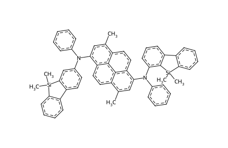 Cc1cc(N(c2ccccc2)c2ccc3c(c2)[Si](C)(C)c2ccccc2-3)c2ccc3c(C)cc(N(c4ccccc4)c4cccc5c4[Si](C)(C)c4ccccc4-5)c4ccc1c2c34